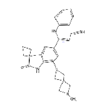 CN1CC2(C1)CN(c1cc(/C(=C/C=N)Nc3ccccc3)cc3c1NC(=O)C31CCC1)C2